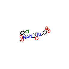 CC(C)(C)OC(=O)NC(CCN1CCC2(CC1)CCN(Cc1ccc(S(C)(=O)=O)cc1)C2=O)c1ccccc1Cl